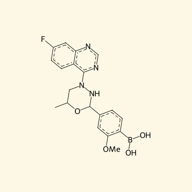 COc1cc(C2NN(c3ncnc4cc(F)ccc34)CC(C)O2)ccc1B(O)O